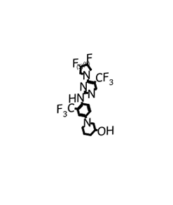 OC1CCCN(c2ccc(Nc3ncc(C(F)(F)F)c(N4C[C@H](F)[C@@H](F)C4)n3)c(C(F)(F)F)c2)C1